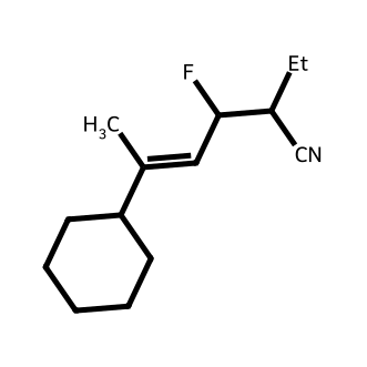 CCC(C#N)C(F)/C=C(\C)C1CCCCC1